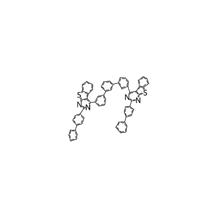 c1ccc(-c2ccc(-c3nc(-c4cccc(-c5cccc(-c6cccc(-c7nc(-c8ccc(-c9ccccc9)cc8)nc8sc9ccccc9c78)c6)c5)c4)c4c(n3)sc3ccccc34)cc2)cc1